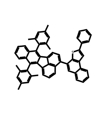 Cc1cc(C)c(-c2c3c(c(-c4c(C)cc(C)cc4C)c4ccccc24)-c2ccc(-c4cc5ccccc5c5cc(-c6ccccc6)sc45)c4cccc-3c24)c(C)c1